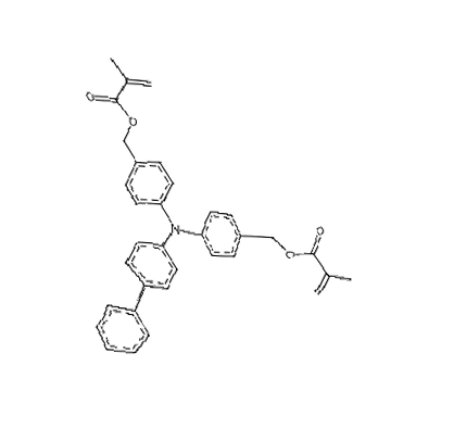 C=C(C)C(=O)OCc1ccc(N(c2ccc(COC(=O)C(=C)C)cc2)c2ccc(-c3ccccc3)cc2)cc1